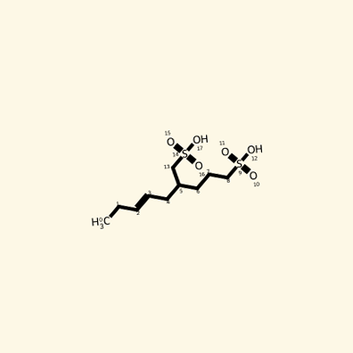 CCC=CCC(CCCS(=O)(=O)O)CS(=O)(=O)O